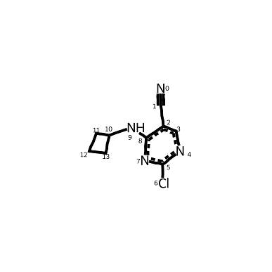 N#Cc1cnc(Cl)nc1NC1CCC1